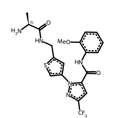 COc1ccccc1NC(=O)c1cc(C(F)(F)F)nn1-c1csc(CNC(=O)[C@H](C)N)c1